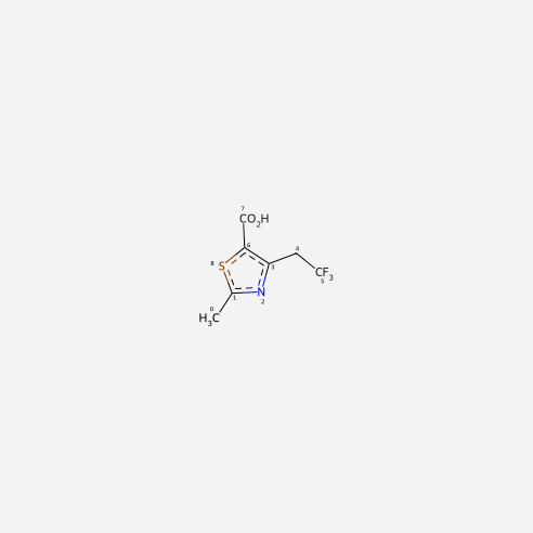 Cc1nc(CC(F)(F)F)c(C(=O)O)s1